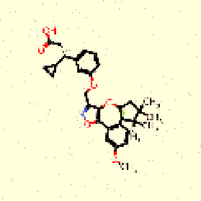 COc1ccc(F)c(-c2onc(COc3cccc([C@@H](CC(=O)O)C4CC4)c3)c2OC2CC(C)(C)C(C)(C)C2)c1